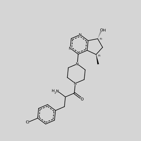 C[C@@H]1C[C@@H](O)c2ncnc(N3CCN(C(=O)C(N)Cc4ccc(Cl)cc4)CC3)c21